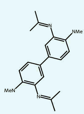 CNc1ccc(-c2ccc(NC)c(N=C(C)C)c2)cc1N=C(C)C